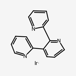 [Ir].c1ccc(-c2cccnc2-c2ccccn2)nc1